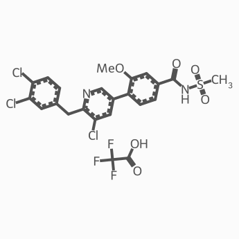 COc1cc(C(=O)NS(C)(=O)=O)ccc1-c1cnc(Cc2ccc(Cl)c(Cl)c2)c(Cl)c1.O=C(O)C(F)(F)F